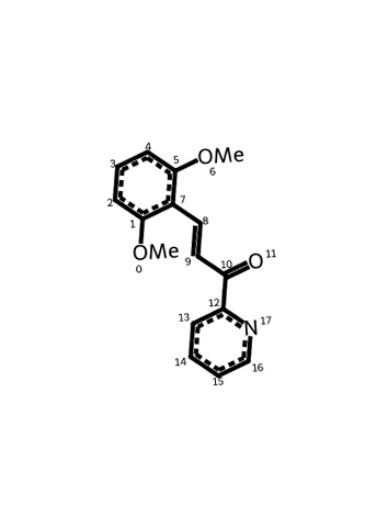 COc1cccc(OC)c1C=CC(=O)c1ccccn1